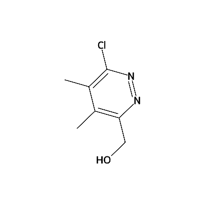 Cc1c(Cl)nnc(CO)c1C